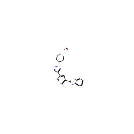 CC(C)(C)C(=O)ON1CCC(n2cc(-c3cnc(N)c(-c4nc5ccccc5s4)c3)cn2)CC1